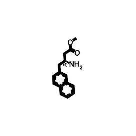 COC(=O)C[C@@H](N)Cc1ccc2ccccc2c1